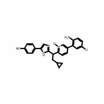 N#Cc1ccc(-c2cnc(C(CC3CC3)c3ccc(-c4cc(Cl)ccc4N)c[n+]3[O-])[nH]2)cc1